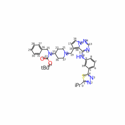 CC(C)c1nnc(-c2cccc(Nc3ncnn4ccc(CN5CCC(N(Cc6ccccc6)C(=O)OC(C)(C)C)CC5)c34)c2)s1